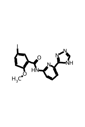 COc1ccc(I)cc1C(=O)Nc1cccc(-c2nnc[nH]2)n1